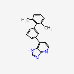 Cc1cccc(C)c1-c1cccc(-c2ccnc3nc[nH]c23)c1